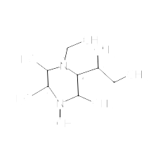 CCC(C)C1C(C)N(C)C(C)C(C)N1CC